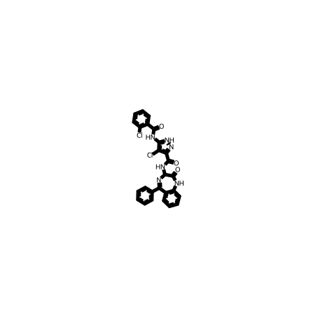 O=C(Nc1[nH]nc(C(=O)NC2N=C(c3ccccc3)c3ccccc3NC2=O)c1Cl)c1ccccc1Cl